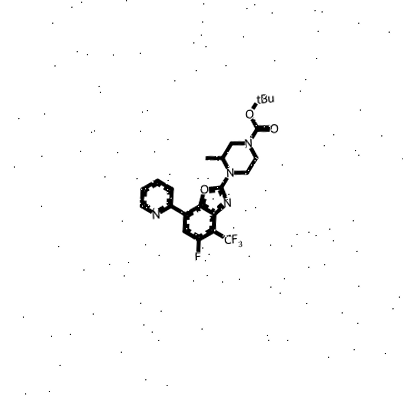 CC1CN(C(=O)OC(C)(C)C)CCN1c1nc2c(C(F)(F)F)c(F)cc(-c3ccccn3)c2o1